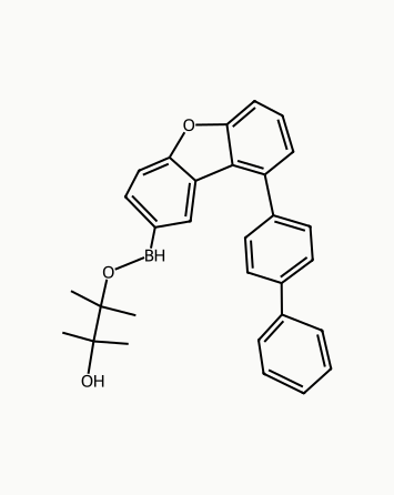 CC(C)(O)C(C)(C)OBc1ccc2oc3cccc(-c4ccc(-c5ccccc5)cc4)c3c2c1